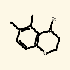 CCN1CCOc2ccc(C)c(C)c21